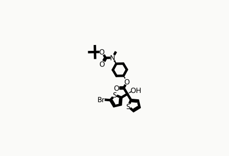 CN(C(=O)OC(C)(C)C)[C@H]1CC[C@H](OC(=O)[C@@](O)(c2cccs2)c2ccc(Br)s2)CC1